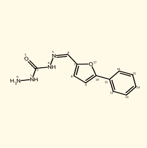 NNC(=O)N/N=C\c1ccc(-c2ccccc2)o1